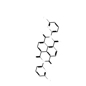 CCc1cccc(N2C(=O)c3ccc4c5c(ccc(c35)C2=O)C(=O)N(c2cccc(CC)n2)C4=O)n1